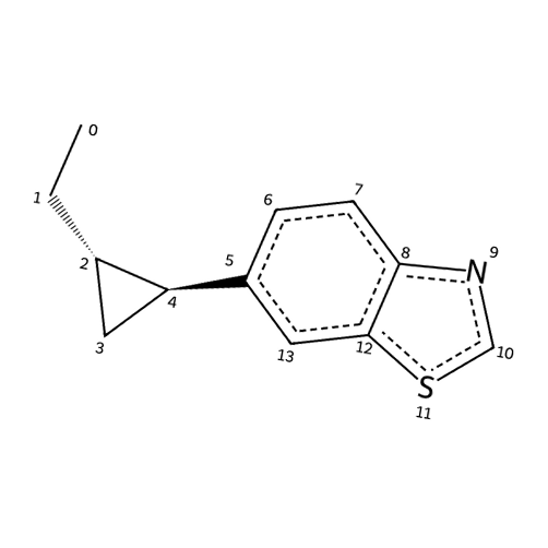 CC[C@H]1C[C@@H]1c1ccc2ncsc2c1